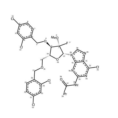 CO[C@@]1(F)[C@H](OCc2ccc(Cl)cc2Cl)[C@@H](COCc2ccc(Cl)cc2Cl)O[C@H]1n1cnc2c(Cl)nc(NC(=O)C(C)C)nc21